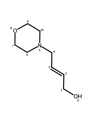 OCC=CCN1CCOCC1